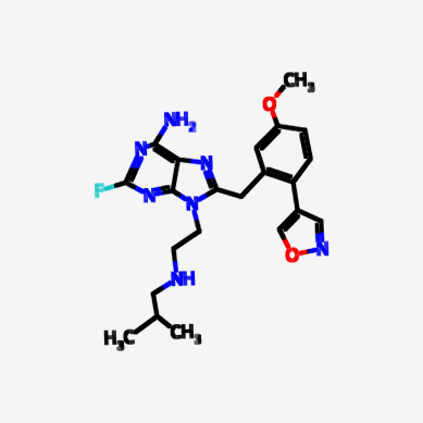 COc1ccc(-c2cnoc2)c(Cc2nc3c(N)nc(F)nc3n2CCNCC(C)C)c1